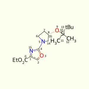 CCOC(=O)c1coc(N2CC[C@H](O[Si](C)(C)C(C)(C)C)C2)n1